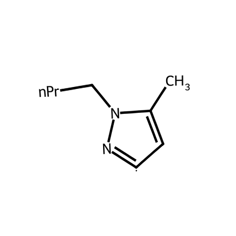 CCCCn1n[c]cc1C